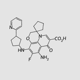 Nc1c(F)c(NC2CCC(c3ccccn3)C2)c2c3c1c(=O)c(C(=O)O)cn3C1(CCCC1)CO2